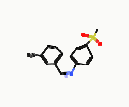 CS(=O)(=O)c1ccc(/N=C\c2cccc([N+](=O)[O-])c2)cc1